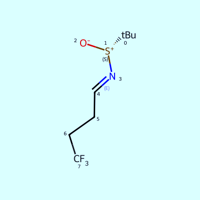 CC(C)(C)[S@@+]([O-])/N=C/CCC(F)(F)F